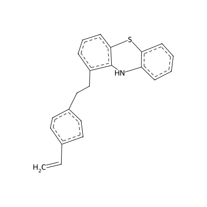 C=Cc1ccc(CCc2cccc3c2Nc2ccccc2S3)cc1